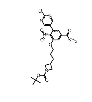 CC(C)(C)OC(=O)N1CC(CCCOc2cc(C(N)=O)cc(-c3cnc(Cl)nc3)c2[N+](=O)[O-])C1